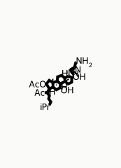 CC(=O)O[C@H]1C[C@@]2(C)[C@@H](C[C@@H](O)[C@H]3[C@@]4(C)CC[C@@H](O)[C@](C)(n5cc(CN)nn5)[C@@H]4CC[C@@]32C)/C1=C(\CCCC(C)C)C(C)=O